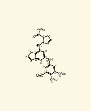 CNC(=O)c1sccc1Nc1nc(Nc2cc(OC)c(OC)c(OC)c2)nc2ccsc12